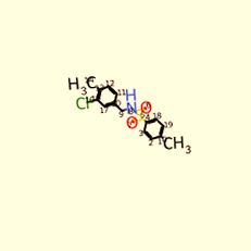 Cc1ccc(S(=O)(=O)NCc2ccc(C)c(Cl)c2)cc1